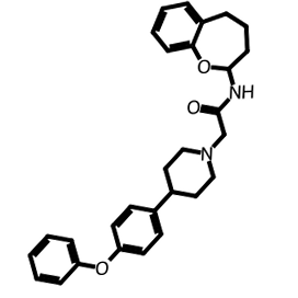 O=C(CN1CCC(c2ccc(Oc3ccccc3)cc2)CC1)NC1CCCc2ccccc2O1